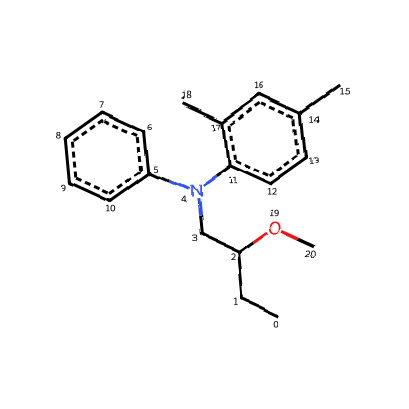 CCC(CN(c1ccccc1)c1ccc(C)cc1C)OC